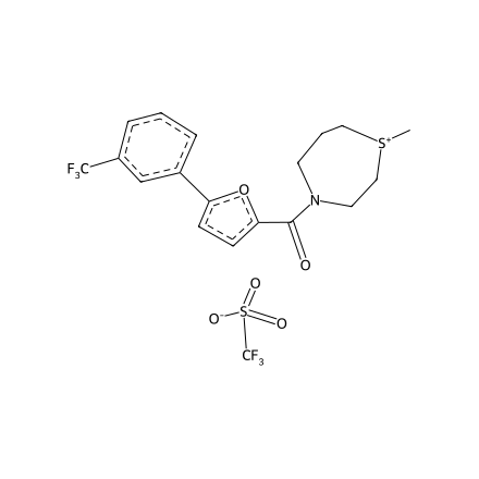 C[S+]1CCCN(C(=O)c2ccc(-c3cccc(C(F)(F)F)c3)o2)CC1.O=S(=O)([O-])C(F)(F)F